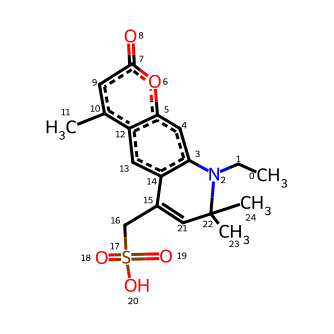 CCN1c2cc3oc(=O)cc(C)c3cc2C(CS(=O)(=O)O)=CC1(C)C